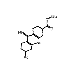 CC(=O)C1CCC(C(=N)C2=CCC(C(=O)OC(C)(C)C)CC2)=C(N)C1